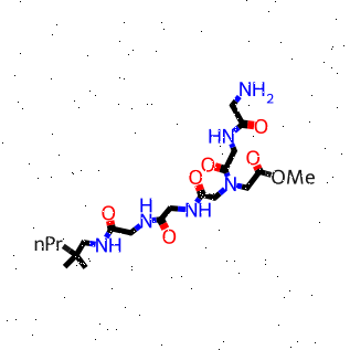 CCCC(C)(C)CNC(=O)CNC(=O)CNC(=O)CN(CC(=O)OC)C(=O)CNC(=O)CN